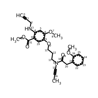 C#CCNc1cc(OC)c(OCCCN(C#CC)C(=O)Cc2ccccc2OC)cc1C(=O)OC